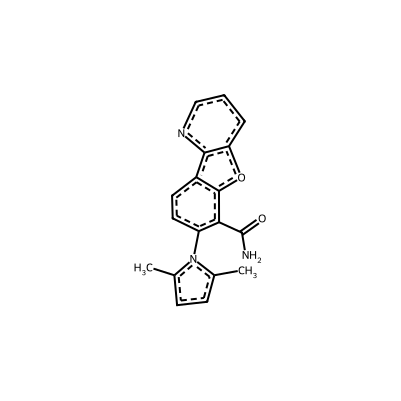 Cc1ccc(C)n1-c1ccc2c(oc3cccnc32)c1C(N)=O